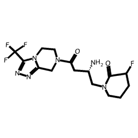 N[C@@H](CC(=O)N1CCn2c(nnc2C(F)(F)F)C1)CN1CCCC(F)C1=O